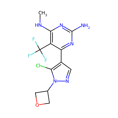 CNc1nc(N)nc(-c2cnn(C3COC3)c2Cl)c1C(F)(F)F